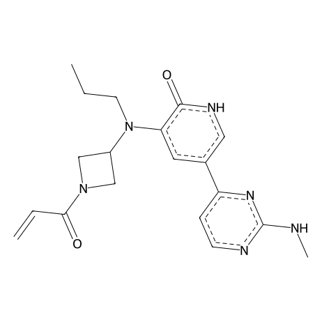 C=CC(=O)N1CC(N(CCC)c2cc(-c3ccnc(NC)n3)c[nH]c2=O)C1